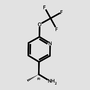 C[C@@H](N)c1ccc(OC(F)(F)F)nc1